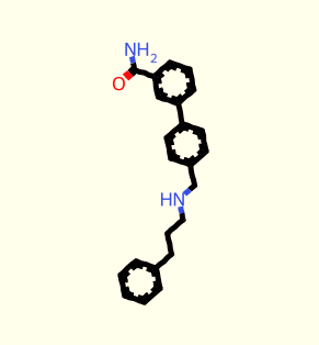 NC(=O)c1cccc(-c2ccc(CNCCCc3ccccc3)cc2)c1